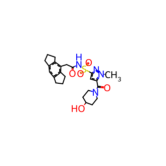 Cn1nc(S(=O)(=O)NC(=O)Cc2c3c(cc4c2CCC4)CCC3)cc1C(=O)N1CCC(O)CC1